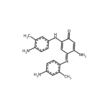 Cc1cc(NC2=CC(=Nc3ccc(N)cc3C)C(N)=CC2=O)ccc1N